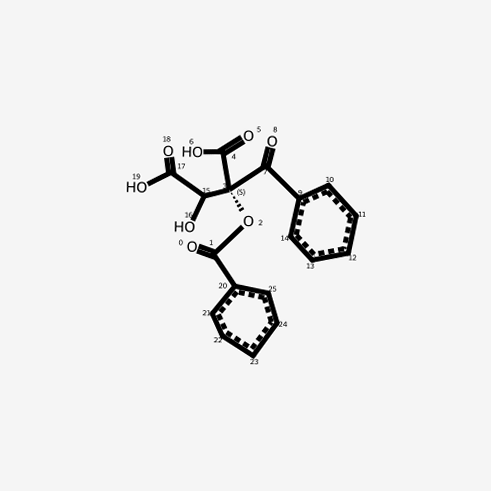 O=C(O[C@](C(=O)O)(C(=O)c1ccccc1)C(O)C(=O)O)c1ccccc1